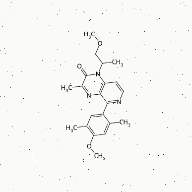 COCC(C)n1c(=O)c(C)nc2c(-c3cc(C)c(OC)cc3C)nccc21